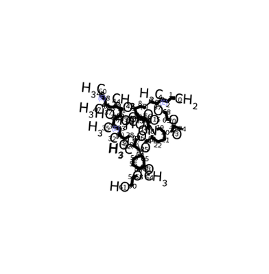 C=C/C=C(\C)C(C[C@@H]1CC[C@@H](C)[C@](O)(C(=O)C(=O)N2CCCC[C@H]2C(=O)O[C@@H](CC(=O)[C@H](C)/C=C(\C)[C@@H](O)[C@@H](OC)C(=O)[C@H](C)C[C@H](C)/C=C/C)[C@H](C)C[C@@H]2CC[C@@H](OCCO)[C@H](OC)C2)O1)OCCOC1COC1